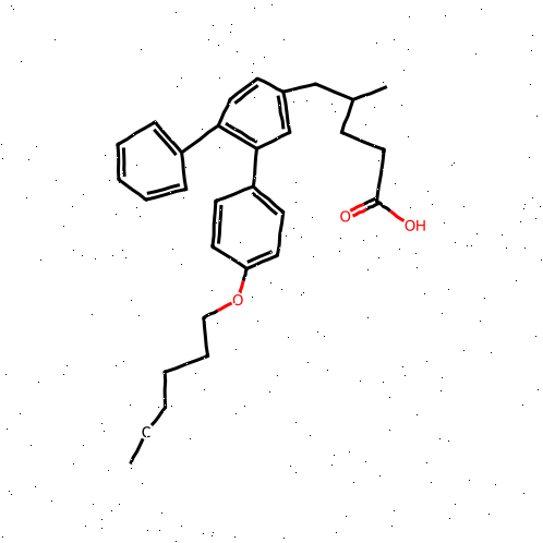 CCCCCCOc1ccc(-c2cc(CC(C)CCC(=O)O)ccc2-c2ccccc2)cc1